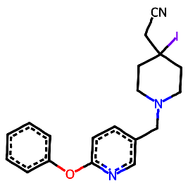 N#CCC1(I)CCN(Cc2ccc(Oc3ccccc3)nc2)CC1